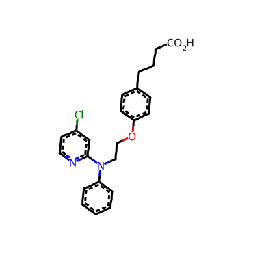 O=C(O)CCCc1ccc(OCCN(c2ccccc2)c2cc(Cl)ccn2)cc1